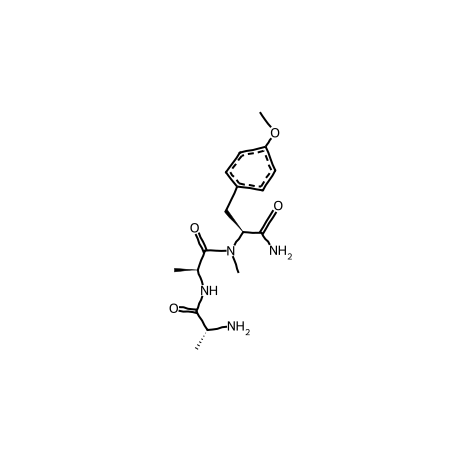 COc1ccc(C[C@@H](C(N)=O)N(C)C(=O)[C@H](C)NC(=O)[C@@H](C)N)cc1